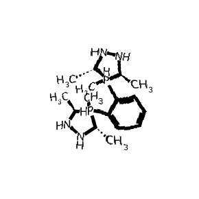 C[C@@H]1NN[C@@H](C)[PH]1(C)c1ccccc1[PH]1(C)[C@H](C)NN[C@H]1C